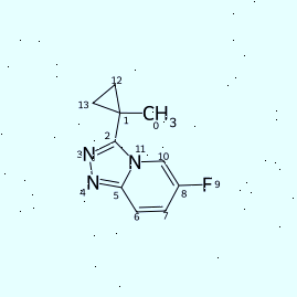 CC1(c2nnc3ccc(F)cn23)CC1